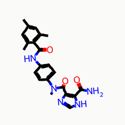 Cc1cc(C)c(C(=O)Nc2ccc(N(C)C(=O)c3nc[nH]c3C(N)=O)cc2)c(C)c1